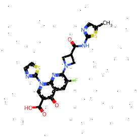 Cc1cnc(NC(=O)C2CN(c3nc4c(cc3F)c(=O)c(C(=O)O)cn4-c3nccs3)C2)s1